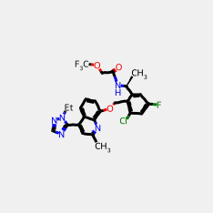 CCn1ncnc1-c1cc(C)nc2c(OCc3c(Cl)cc(F)cc3[C@H](C)NC(=O)COC(F)(F)F)cccc12